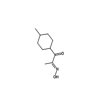 C/C(=N\O)C(=O)C1CCC(C)CC1